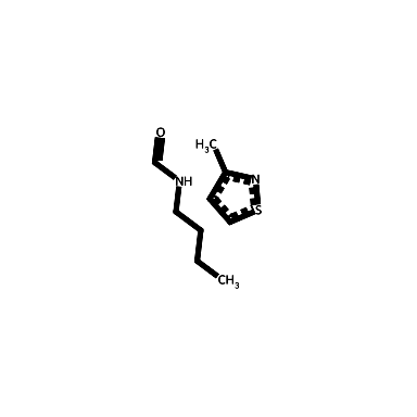 CCCCNC=O.Cc1ccsn1